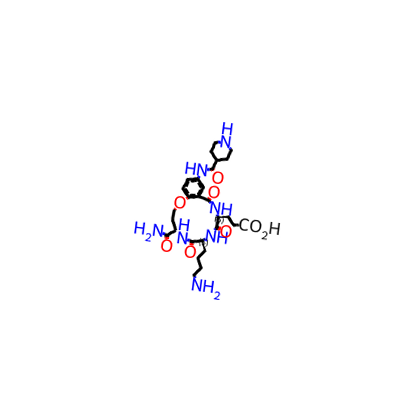 NCCCC[C@@H]1NC(=O)[C@H](CCC(=O)O)NC(=O)c2cc(NC(=O)C3CCNCC3)ccc2OCCC(C(N)=O)NC1=O